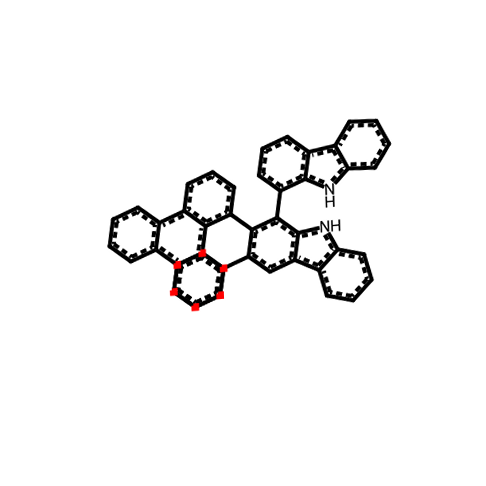 c1ccc(-c2cc3c([nH]c4ccccc43)c(-c3cccc4c3[nH]c3ccccc34)c2-c2cccc3c4ccccc4c4ccccc4c23)cc1